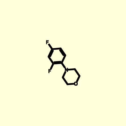 Fc1ccc(N2CCOCC2)c(F)c1